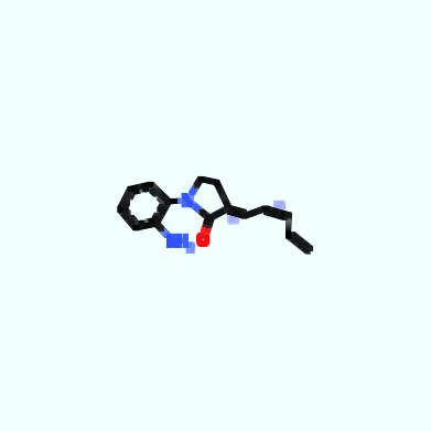 C=C/C=C\C=C1/CCN(c2ccccc2N)C1=O